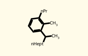 CCCCCCCC(C)c1cccc(CCC)c1C